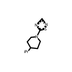 CC(C)C1CCN(c2ncns2)CC1